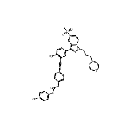 CS(=O)(=O)N1CCc2c(c(-c3ccc(Cl)c(C#Cc4ccc(CNCc5ccc(Cl)cc5)cc4)c3)nn2CCCN2CCOCC2)C1